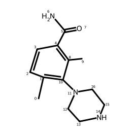 Cc1ccc(C(N)=O)c(C)c1N1CCNCC1